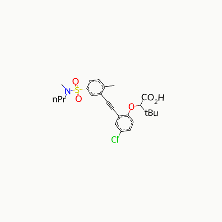 CCCN(C)S(=O)(=O)c1ccc(C)c(C#Cc2cc(Cl)ccc2OC(C(=O)O)C(C)(C)C)c1